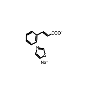 O=C([O-])C=Cc1ccccc1.[Na+].c1cscn1